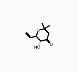 C=CC1OC(C)(C)CC(=O)[C@@H]1O